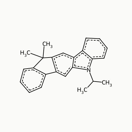 CC(C)n1c2ccccc2c2cc3c(cc21)-c1ccccc1C3(C)C